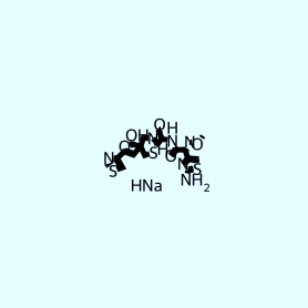 CON=C(C(=O)NC1C(=O)N2CC(C=Cc3cscn3)(C(=O)O)CS[C@H]12)c1csc(N)n1.[NaH]